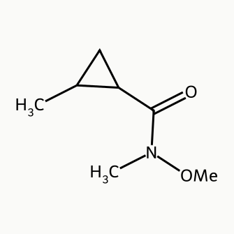 CON(C)C(=O)C1CC1C